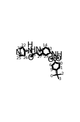 CC(C)(C)c1ccc(S(=O)(=O)Nc2ccc3[nH]c(C(=O)Nc4ccncc4)cc3c2)cc1